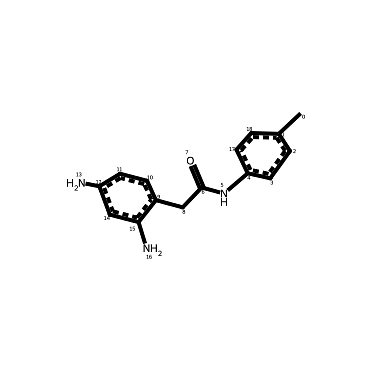 Cc1ccc(NC(=O)Cc2ccc(N)cc2N)cc1